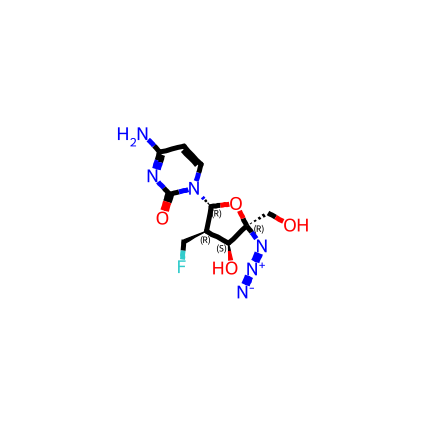 [N-]=[N+]=N[C@]1(CO)O[C@@H](n2ccc(N)nc2=O)[C@H](CF)[C@@H]1O